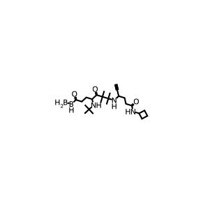 BBC(=O)CCC(NC(C)(C)C)C(=O)C(C)(C)C(C)(C)NC(C#C)CCC(=O)NC1CCC1